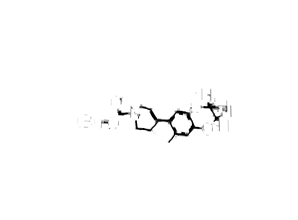 [2H]C1([2H])Oc2cc(C)c(C3=CCN(C(=O)OC(C)(C)C)CC3)cc2OC1([2H])[2H]